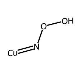 OO[N]=[Cu]